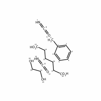 Cc1ccccc1.N=C=O.N=C=O.O=C(O)CCCCC(=O)O.OCCO